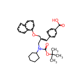 CC(C)(C)OC(=O)N(CC(=Cc1ccc(C(=O)O)cc1)COc1cccc2ccccc12)C1CCCCC1